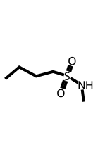 CCCCS(=O)(=O)NC